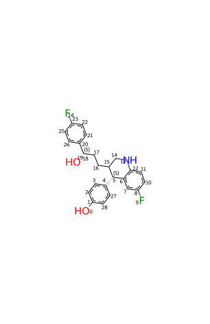 Oc1ccc([C@H]2c3cc(F)ccc3NCC2CC[C@H](O)c2ccc(F)cc2)cc1